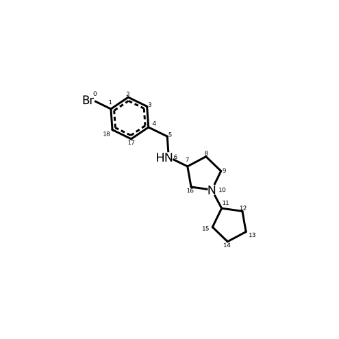 Brc1ccc(CNC2CCN(C3CCCC3)C2)cc1